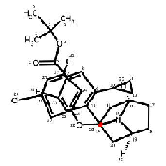 CC(C)(C)OC(=O)c1cc(C2CC2)c(CN2[C@@H]3CC[C@H]2CC(Oc2cc(Cl)cc(Cl)c2)C3)cc1F